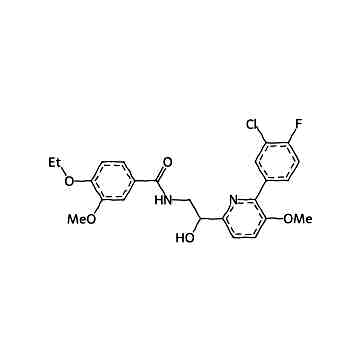 CCOc1ccc(C(=O)NCC(O)c2ccc(OC)c(-c3ccc(F)c(Cl)c3)n2)cc1OC